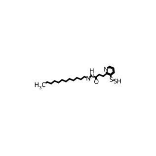 CCCCCCCCCCCC[N]NC(=O)CCc1ncccc1SS